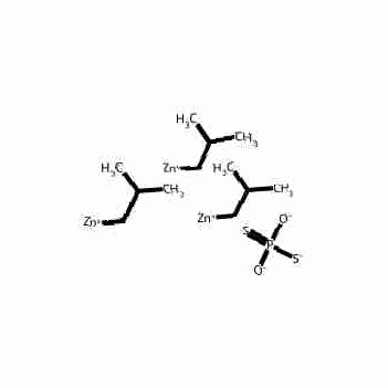 CC(C)[CH2][Zn+].CC(C)[CH2][Zn+].CC(C)[CH2][Zn+].[O-]P([O-])(=S)[S-]